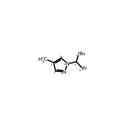 Cc1cnn(C(C(C)C)C(C)(C)C)c1